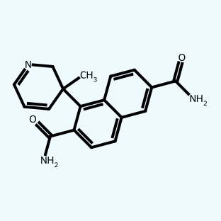 CC1(c2c(C(N)=O)ccc3cc(C(N)=O)ccc23)C=CC=NC1